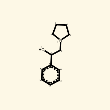 OC(CN1C[CH]CC1)c1ccccc1